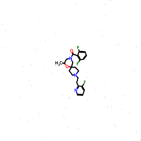 CC1CN(C(=O)c2c(F)cccc2F)CC2(CCN(CCc3ncccc3F)CC2)O1